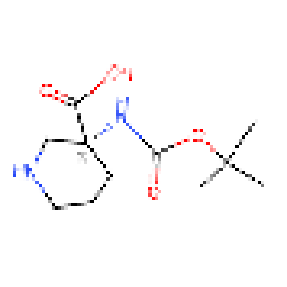 CC(C)(C)OC(=O)N[C@]1(C(=O)O)CCCNC1